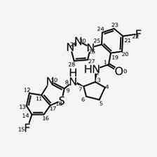 O=C(N[C@H]1CCC[C@H]1Nc1nc2ccc(F)cc2s1)c1cc(F)ccc1-n1ccnn1